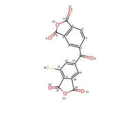 O=C(c1ccc2c(c1)C(=O)OC2=O)c1cc(F)c2c(c1)C(=O)OC2=O